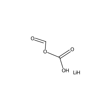 O=COC(=O)O.[LiH]